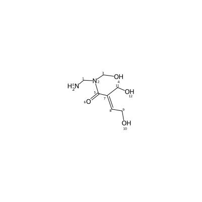 NCN(CO)C(=O)C(=CCO)CO